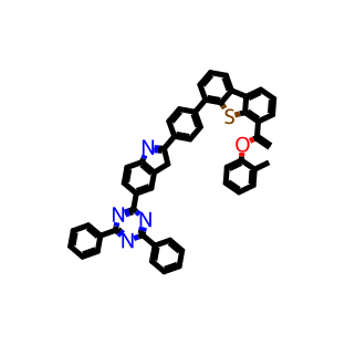 C=C(Oc1ccccc1C)c1cccc2c1sc1c(-c3ccc(C4=Nc5ccc(-c6nc(-c7ccccc7)nc(-c7ccccc7)n6)cc5C4)cc3)cccc12